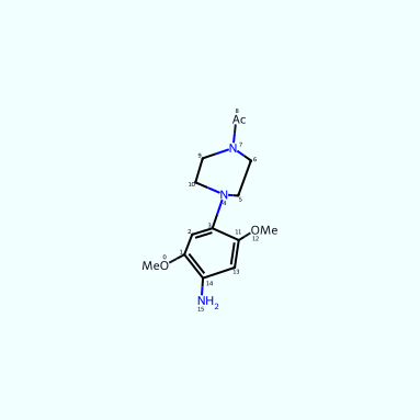 COc1cc(N2CCN(C(C)=O)CC2)c(OC)cc1N